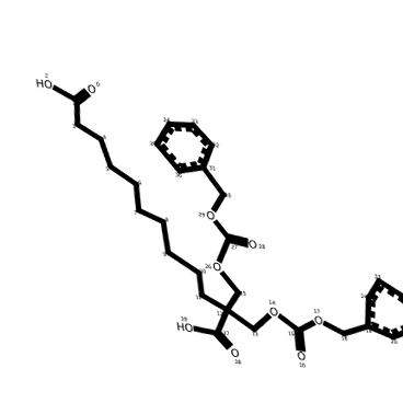 O=C(O)CCCCCCCCCC(COC(=O)OCc1ccccc1)(COC(=O)OCc1ccccc1)C(=O)O